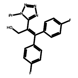 CC(C)n1nnnc1C(CO)=C(c1ccc(F)cc1)c1ccc(F)cc1